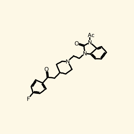 CC(=O)n1c(=O)n(CCN2CCC(CC(=O)c3ccc(F)cc3)CC2)c2ccccc21